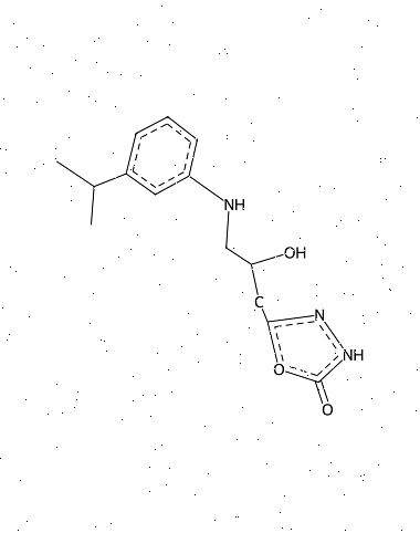 CC(C)c1cccc(NCC(O)Cc2n[nH]c(=O)o2)c1